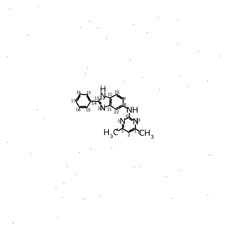 Cc1cc(C)nc(Nc2ccc3[nH]c(-c4ccccc4)nc3c2)n1